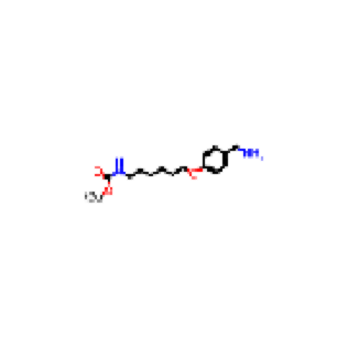 CC(C)(C)OC(=O)NCCCCCCOc1ccc(CN)cc1